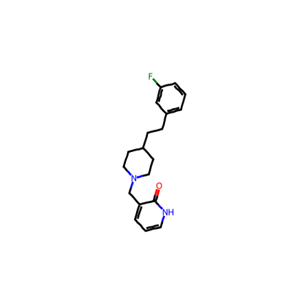 O=c1[nH]cccc1CN1CCC(CCc2cccc(F)c2)CC1